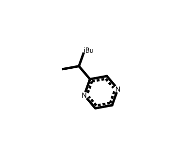 CCC(C)[C](C)c1cnccn1